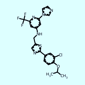 CC(C)Oc1ccc(-c2ncc(CNc3cc(-n4ccnc4)nc(C(F)(F)F)c3)s2)cc1Cl